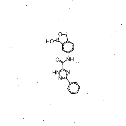 O=C(Nc1ccc2c(c1)B(O)OC2)c1nc(-c2ccccc2)n[nH]1